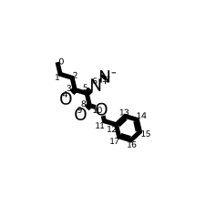 CCCC(=O)C(=[N+]=[N-])C(=O)OCc1ccccc1